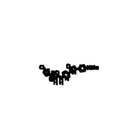 CNc1ccc(C2=NN(c3ccc(NC(=O)NS(=O)(=O)c4ccc(Cl)s4)nc3)C(=O)C2)cc1